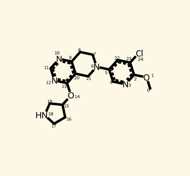 COc1ncc(N2CCc3ncnc(OC4CCNC4)c3C2)cc1Cl